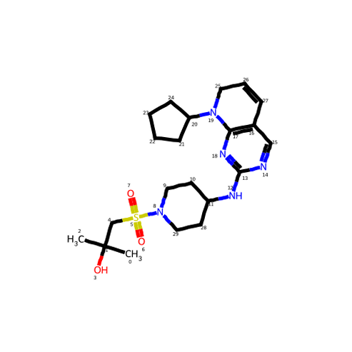 CC(C)(O)CS(=O)(=O)N1CCC(Nc2ncc3c(n2)N(C2CCCC2)CC=C3)CC1